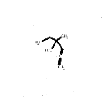 [CH2]C(C)(C=C=C)CC